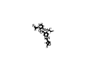 CC[C@H](C)Oc1cc2nc(C34COC(C)(C3)C4)cn2cc1C(=O)Nc1cccn(C2CC2F)c1=O